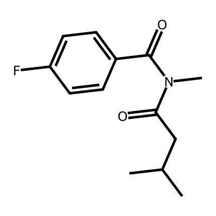 CC(C)CC(=O)N(C)C(=O)c1ccc(F)cc1